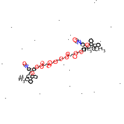 CC1(C)c2ccccc2-c2c1c1c(c3ccccc23)OC(c2ccc(OCCOC(=O)CCC(=O)OCCOCCOCCOC(=O)CCC(=O)OCCOc3ccc(C4(c5ccc(N6CCOCC6)cc5)C=Cc5c6c(c7ccccc7c5O4)-c4ccccc4C6(C)C)cc3)cc2)(c2ccc(N3CCOCC3)cc2)C=C1